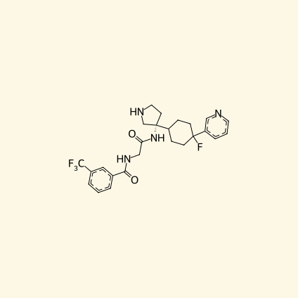 O=C(CNC(=O)c1cccc(C(F)(F)F)c1)N[C@@]1(C2CCC(F)(c3cccnc3)CC2)CCNC1